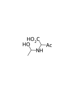 CC(=O)C(NC(C)O)C(=O)O